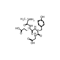 C[C@H](N)C(=O)N[C@@H](CCC(=O)O)C(=O)N[C@@H](Cc1ccc(O)cc1)C(=O)NCC(=O)O